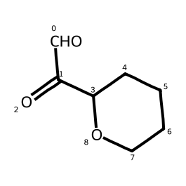 O=CC(=O)C1CCCCO1